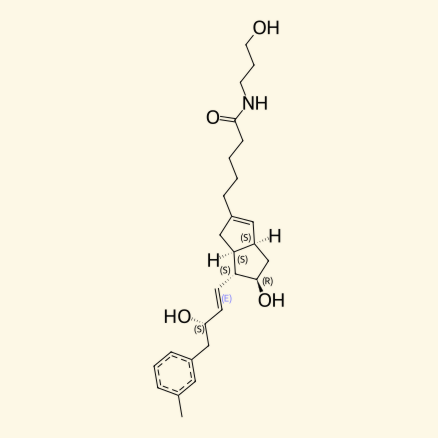 Cc1cccc(C[C@H](O)/C=C/[C@@H]2[C@H]3CC(CCCCC(=O)NCCCO)=C[C@H]3C[C@H]2O)c1